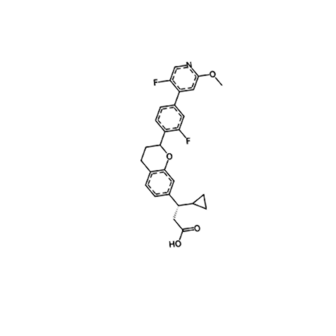 COc1cc(-c2ccc(C3CCc4ccc([C@@H](CC(=O)O)C5CC5)cc4O3)c(F)c2)c(F)cn1